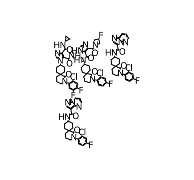 NC(=O)c1c(C(=O)NC2CC2)ncn1C1CCC2(CCCN(c3cc(F)c(F)cc3Cl)C2=O)CC1.O=C(NC1CCC2(CCCN(c3ccc(F)cc3Cl)C2=O)CC1)c1[nH]cnc1C(=O)N1CC(F)C1.O=C(NC1CCC2(CCCN(c3ccc(F)cc3Cl)C2=O)CC1)c1cnc2cccnn12.O=C(NC1CCC2(CCCN(c3ccc(F)cc3Cl)C2=O)CC1)c1cnn2cccnc12